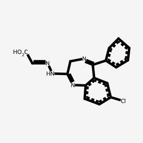 O=C(O)C=NNC1=Nc2ccc(Cl)cc2C(c2ccccc2)=NC1